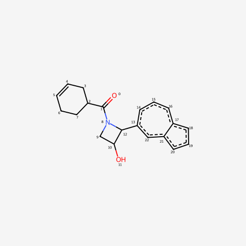 O=C(C1CC=CCC1)N1CC(O)C1c1cccc2cccc-2c1